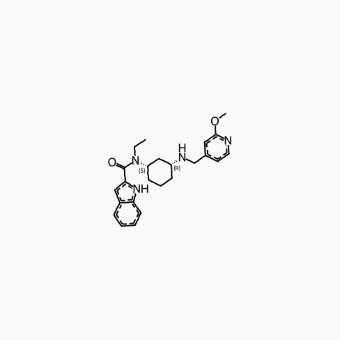 CCN(C(=O)c1cc2ccccc2[nH]1)[C@H]1CCC[C@@H](NCc2ccnc(OC)c2)C1